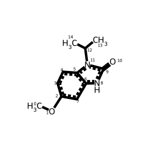 COc1ccc2c(c1)[nH]c(=O)n2C(C)C